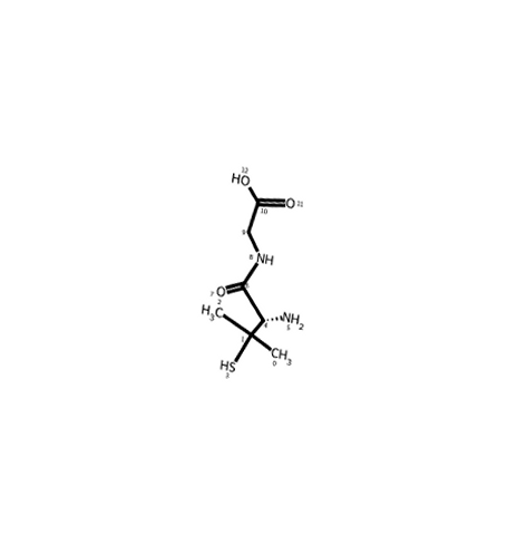 CC(C)(S)[C@@H](N)C(=O)NCC(=O)O